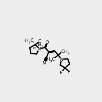 [CH2][C@@]1(C)CCCN1C(=O)C(C#N)=CC(C)(C)N1CCC(F)(F)C1